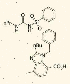 CCCCc1nc2c(C)ccc(C(=O)O)c2n1Cc1ccc(-c2ccccc2S(=O)(=O)NC(=O)NCCC)cc1